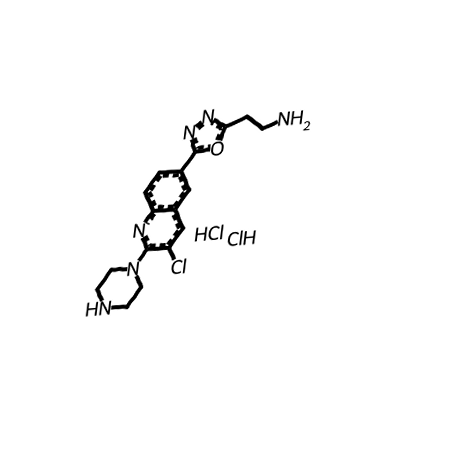 Cl.Cl.NCCc1nnc(-c2ccc3nc(N4CCNCC4)c(Cl)cc3c2)o1